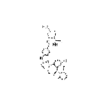 CCC(NC(=O)c1ccc(Nc2ncc3c(n2)-c2ccc(Cl)cc2C(c2c(F)cccc2F)=NC3)cc1)C1CCN(C)CC1